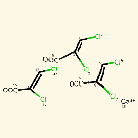 O=C([O-])/C(Cl)=C/Cl.O=C([O-])/C(Cl)=C/Cl.O=C([O-])/C(Cl)=C/Cl.[Ga+3]